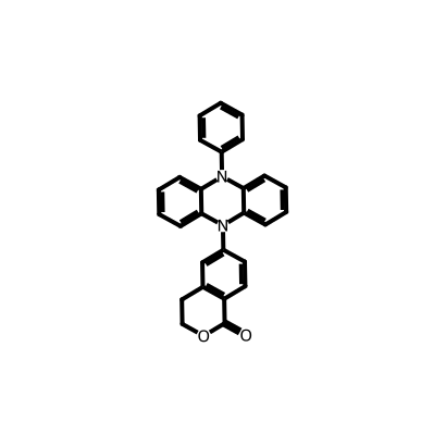 O=C1OCCc2cc(N3c4ccccc4N(c4ccccc4)c4ccccc43)ccc21